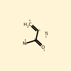 C=C[C](=O)[Ni].[Ti]